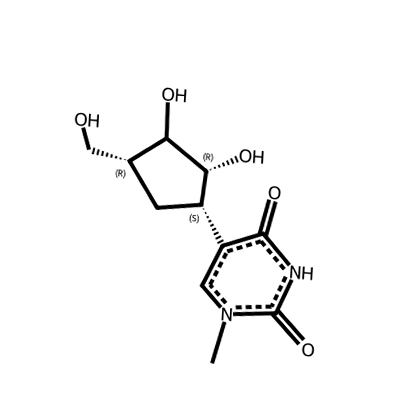 Cn1cc([C@@H]2C[C@H](CO)C(O)[C@@H]2O)c(=O)[nH]c1=O